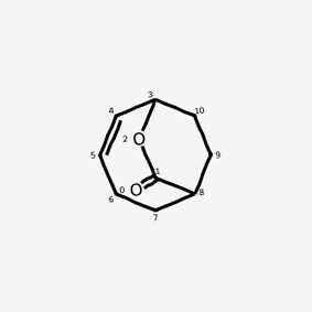 O=C1OC2/C=C\CCC1CC2